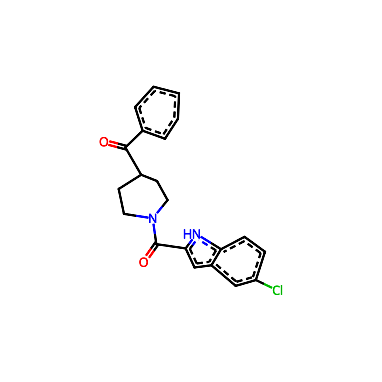 O=C(c1ccccc1)C1CCN(C(=O)c2cc3cc(Cl)ccc3[nH]2)CC1